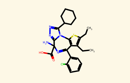 CCc1sc2c(c1CC)C(c1ccccc1Cl)=NC(N)(C(=O)O)c1nnc(C3CCCCC3)n1-2